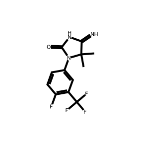 CC1(C)C(=N)NC(=O)N1c1ccc(F)c(C(F)(F)F)c1